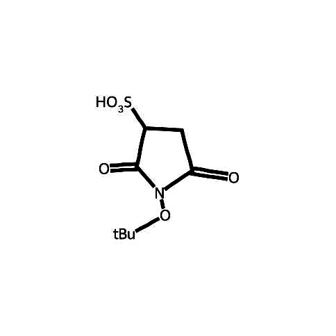 CC(C)(C)ON1C(=O)CC(S(=O)(=O)O)C1=O